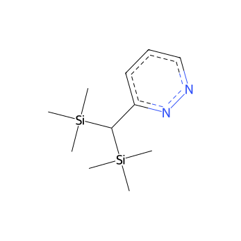 C[Si](C)(C)C(c1cccnn1)[Si](C)(C)C